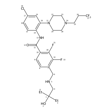 CCC(O)(CC)CNCc1ccc(C(=O)Nc2ccc(Cl)cc2N2CCN(CCC(F)(F)F)CC2)c(F)c1F